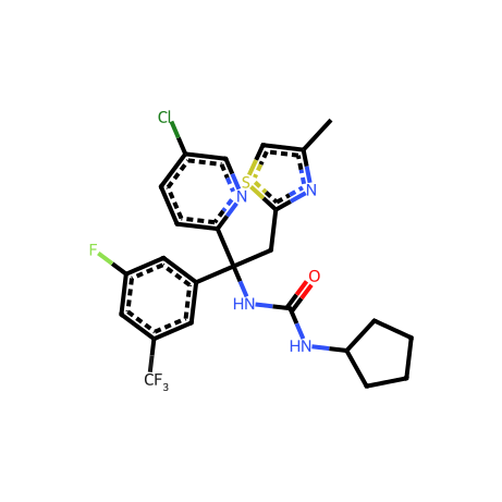 Cc1csc(CC(NC(=O)NC2CCCC2)(c2cc(F)cc(C(F)(F)F)c2)c2ccc(Cl)cn2)n1